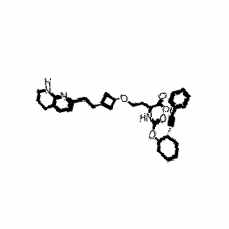 O=C(NC(CCO[C@H]1C[C@H](CCc2ccc3c(n2)NCCC3)C1)C(=O)O)O[C@@H]1CCCC[C@H]1C#Cc1ccccc1